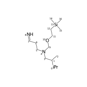 CC(C)C(C)CN(CCC=N)COCC[Si](C)(C)C